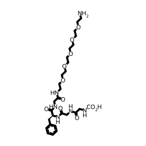 NCCOCCOCCOCCOCCOCCNC(=O)CNC(=O)[C@H](Cc1ccccc1)NC(=O)CNC(=O)CNC(=O)O